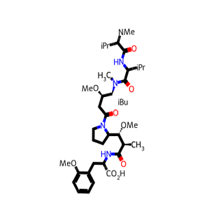 CC[C@H](C)[C@@H]([C@@H](CC(=O)N1CCCC1[C@H](OC)[C@@H](C)C(=O)NC(Cc1ccccc1OC)C(=O)O)OC)N(C)C(=O)C(NC(=O)C(NC)C(C)C)C(C)C